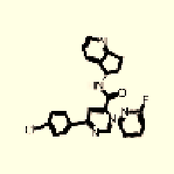 Fc1ccccn1.O=C(N[C@H]1CCc2ncccc21)c1cc(-c2ccc(Cl)cc2)ncn1